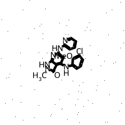 COc1c(Cl)cccc1Nc1cc(Nc2ccccn2)nc2[nH]n(C)c(=O)c12